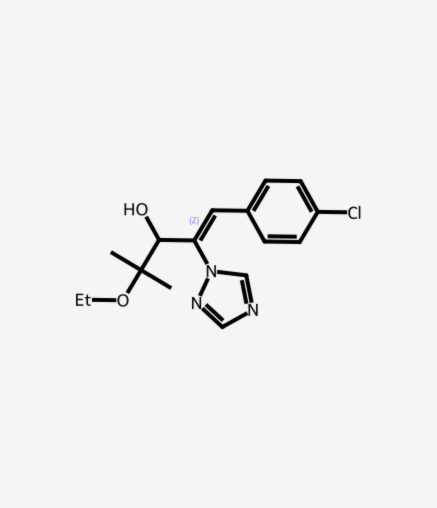 CCOC(C)(C)C(O)/C(=C/c1ccc(Cl)cc1)n1cncn1